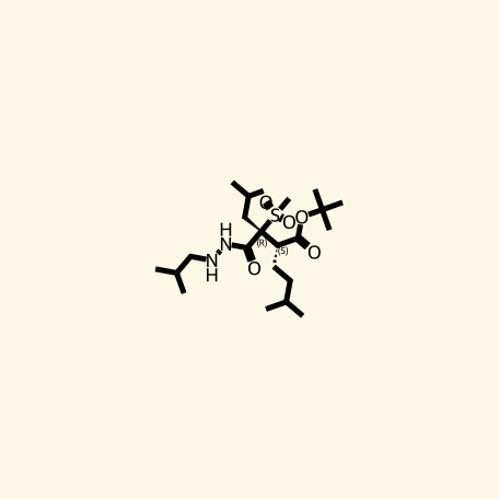 CC(C)CC[C@@H](C(=O)OC(C)(C)C)[C@](CC(C)C)(C(=O)NNCC(C)C)S(C)(=O)=O